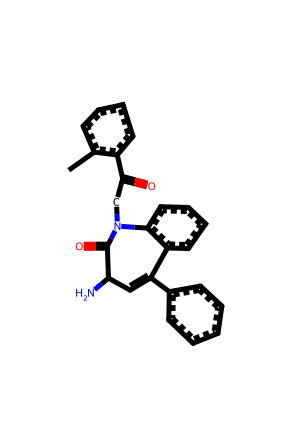 Cc1ccccc1C(=O)CN1C(=O)C(N)C=C(c2ccccc2)c2ccccc21